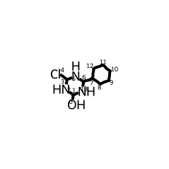 OC1NC(Cl)NC(C2CCCCC2)N1